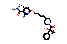 CN(C)C(=O)c1ccc(OCCCCC2CCN(C(=O)C(O)(c3ccccc3)C(F)(F)F)CC2)nc1Cl